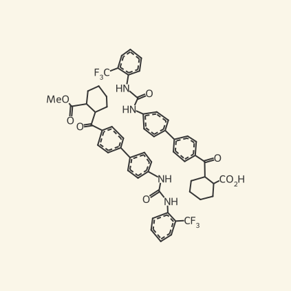 COC(=O)C1CCCCC1C(=O)c1ccc(-c2ccc(NC(=O)Nc3ccccc3C(F)(F)F)cc2)cc1.O=C(Nc1ccc(-c2ccc(C(=O)C3CCCCC3C(=O)O)cc2)cc1)Nc1ccccc1C(F)(F)F